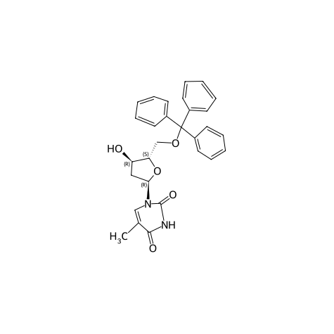 Cc1cn([C@H]2C[C@@H](O)[C@H](COC(c3ccccc3)(c3ccccc3)c3ccccc3)O2)c(=O)[nH]c1=O